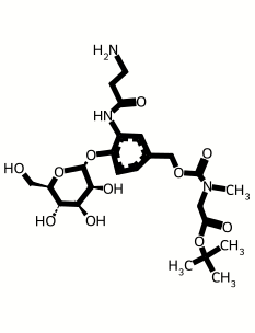 CN(CC(=O)OC(C)(C)C)C(=O)OCc1ccc(O[C@H]2O[C@H](CO)[C@@H](O)[C@H](O)[C@@H]2O)c(NC(=O)CCN)c1